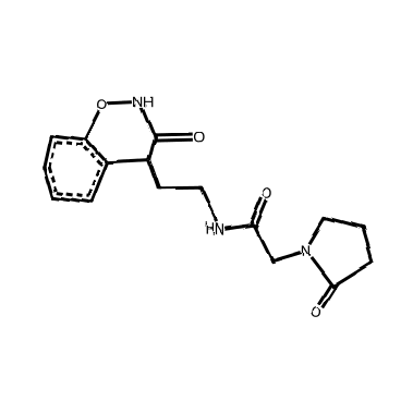 O=C(CN1CCCC1=O)NCCC1C(=O)NOc2ccccc21